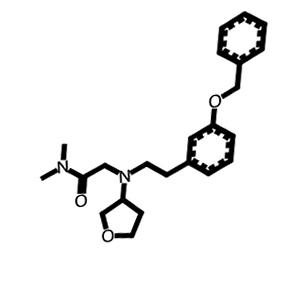 CN(C)C(=O)CN(CCc1cccc(OCc2ccccc2)c1)C1CCOC1